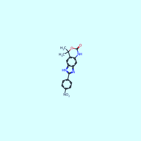 CC1(C)OC(=O)Nc2cc3nc(-c4ccc([N+](=O)[O-])cc4)[nH]c3cc21